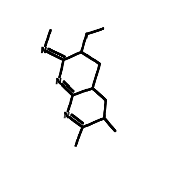 CCC1CC2CC(C)C(C)=NC2=N/C1=N/C